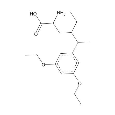 CCOc1cc(OCC)cc(C(C)C(CC)CC(N)C(=O)O)c1